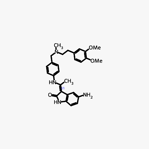 COc1ccc(CCN(C)Cc2ccc(N/C(C)=C3\C(=O)Nc4ccc(N)cc43)cc2)cc1OC